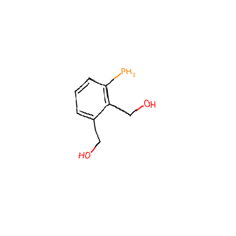 OCc1cccc(P)c1CO